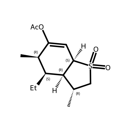 CC[C@@H]1[C@H]2[C@@H](C=C(OC(C)=O)[C@@H]1C)S(=O)(=O)C[C@@H]2C